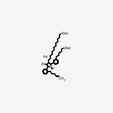 CC=CCCCc1ccccc1C1=C(CC)C(CCCCCCCCCCCCCCCCCCCCCCC)=C(c2cccc(CCCCCCCCCCCCCCC)c2)[N+]1=[N-].[Pd]